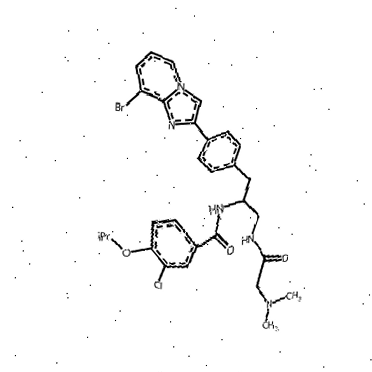 CC(C)Oc1ccc(C(=O)NC(CNC(=O)CN(C)C)Cc2ccc(-c3cn4cccc(Br)c4n3)cc2)cc1Cl